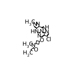 C=CC(=O)N(C)C1CC(Oc2nc(Nc3cn(C)nc3C#N)nc3[nH]cc(Cl)c23)C1